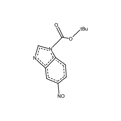 CC(C)(C)OC(=O)n1cnc2cc(N=O)ccc21